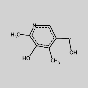 Cc1ncc([CH]O)c(C)c1O